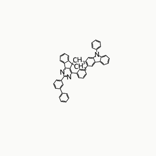 CC1(C)c2ccccc2-c2nc(-c3cccc(-c4ccccc4)c3)nc(-c3cccc(-c4ccc5c(c4)c4ccccc4n5-c4ccccc4)c3)c21